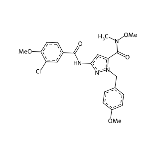 COc1ccc(Cn2nc(NC(=O)c3ccc(OC)c(Cl)c3)cc2C(=O)N(C)OC)cc1